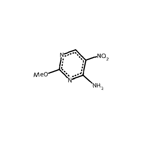 COc1ncc([N+](=O)[O-])c(N)n1